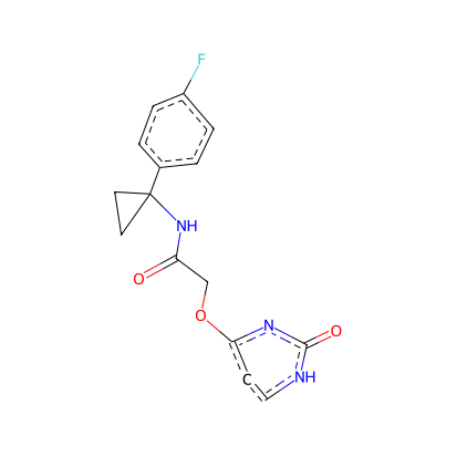 O=C(COc1cc[nH]c(=O)n1)NC1(c2ccc(F)cc2)CC1